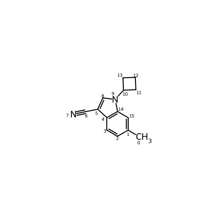 Cc1ccc2c(C#N)cn(C3CCC3)c2c1